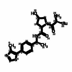 Cc1ncsc1-c1ccc([C@H](C)NC(=O)C2CC(O)CN2C(=O)[C@@H](N)C(C)(C)C)cc1